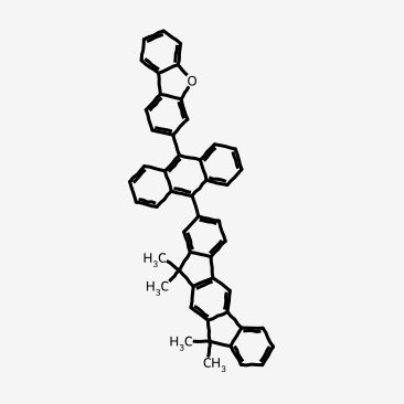 CC1(C)c2ccccc2-c2cc3c(cc21)C(C)(C)c1cc(-c2c4ccccc4c(-c4ccc5c(c4)oc4ccccc45)c4ccccc24)ccc1-3